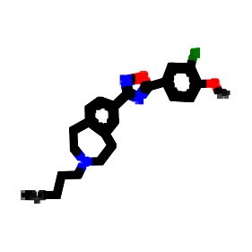 CC(C)Oc1ccc(-c2nc(-c3ccc4c(c3)CCN(CCCC(=O)O)CC4)no2)cc1Cl